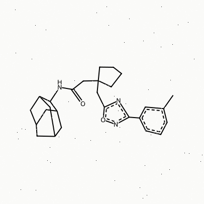 Cc1cccc(-c2noc(CC3(CC(=O)NC4C5CC6CC(C5)CC4C6)CCCC3)n2)c1